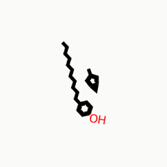 CCCCCCCCCCCc1ccc(O)cc1.Cc1cc2cc-2c1